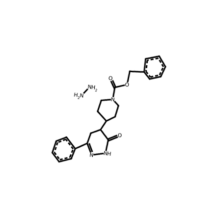 NN.O=C1NN=C(c2ccccc2)CC1C1CCN(C(=O)OCc2ccccc2)CC1